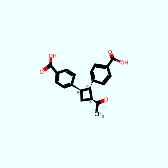 CC(=O)[C@H]1C[C@@H](c2ccc(C(=O)O)cc2)[C@@H]1c1ccc(C(=O)O)cc1